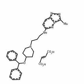 CC(C)(C)c1nnc2ccc(NCCCN3CCC(OC(c4ccccc4)c4ccccc4)CC3)nn12.O=C(O)/C=C/C(=O)O